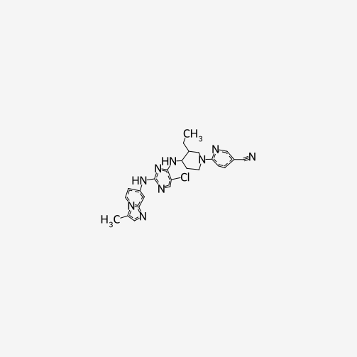 CCC1CN(c2ccc(C#N)cn2)CCC1Nc1nc(Nc2ccn3c(C)cnc3c2)ncc1Cl